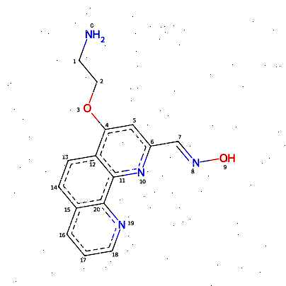 NCCOc1cc(C=NO)nc2c1ccc1cccnc12